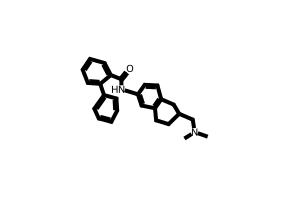 CN(C)CC1CCc2cc(NC(=O)c3ccccc3-c3ccccc3)ccc2C1